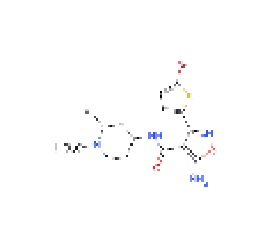 CCC1CC(NC(=O)c2c(-c3ccc(Br)s3)noc2N)CCN1C(=O)O